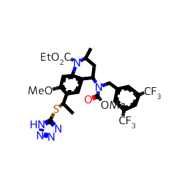 CCOC(=O)N1c2cc(OC)c(C(C)Sc3nnn[nH]3)cc2C(N(Cc2cc(C(F)(F)F)cc(C(F)(F)F)c2)C(=O)OC)CC1C